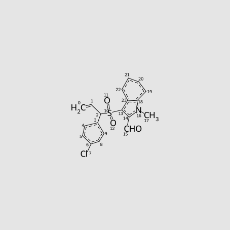 C=CC(c1ccc(Cl)cc1)S(=O)(=O)c1c(C=O)n(C)c2ccccc12